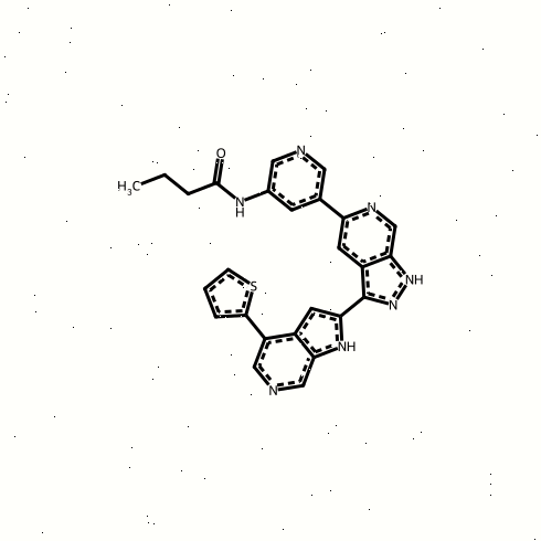 CCCC(=O)Nc1cncc(-c2cc3c(-c4cc5c(-c6cccs6)cncc5[nH]4)n[nH]c3cn2)c1